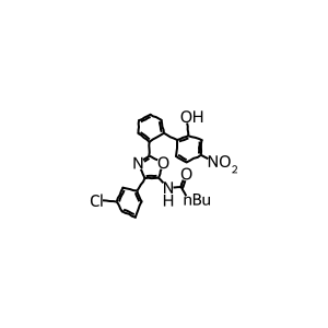 CCCCC(=O)Nc1oc(-c2ccccc2-c2ccc([N+](=O)[O-])cc2O)nc1-c1cccc(Cl)c1